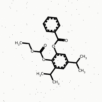 CCOC(=O)Oc1c(OC(=O)c2ccccc2)cc(C(C)C)cc1C(C)C